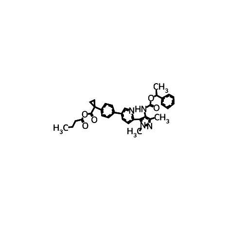 CCCC(=O)OC(=O)C1(c2ccc(-c3ccc(-c4c(NC(=O)OC(C)c5ccccc5)c(C)nn4C)nc3)cc2)CC1